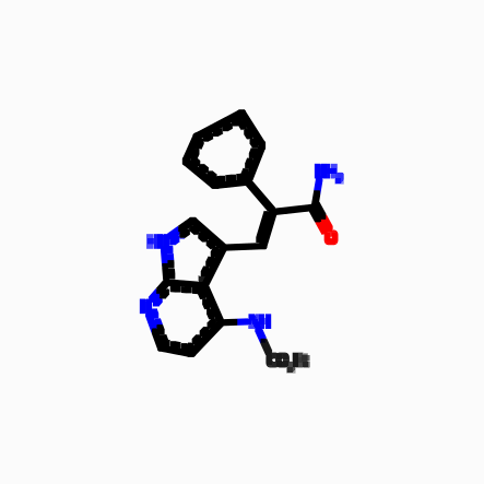 CCOC(=O)Nc1ccnc2[nH]cc(C=C(C(N)=O)c3ccccc3)c12